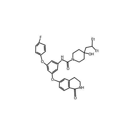 CCC(CC)CC1(O)CCN(C(=O)Nc2cc(Oc3ccc(F)cc3)cc(Oc3ccc4c(c3)CCNC4=O)c2)CC1